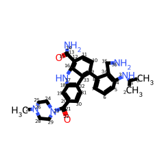 CC(C)Nc1cccc(-c2ccc(C(N)=O)c3[nH]c4cc(C(=O)N5CCN(C)CC5)ccc4c23)c1CN